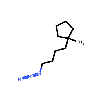 CC1(CCCCN=[N+]=[N-])CCCC1